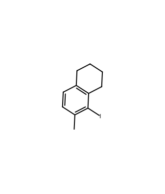 Cc1ccc2c(c1I)CCCC2